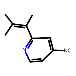 [C-]#[N+]c1ccnc(C(C)=C(C)C)c1